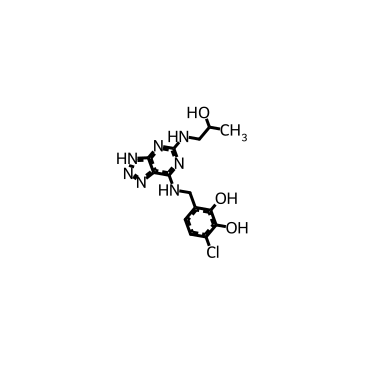 CC(O)CNc1nc(NCc2ccc(Cl)c(O)c2O)c2nn[nH]c2n1